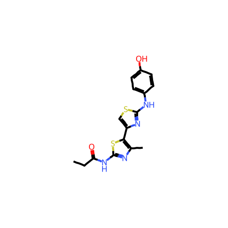 CCC(=O)Nc1nc(C)c(-c2csc(Nc3ccc(O)cc3)n2)s1